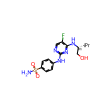 CC(C)[C@H](CO)Nc1nc(Nc2ccc(S(N)(=O)=O)cc2)ncc1F